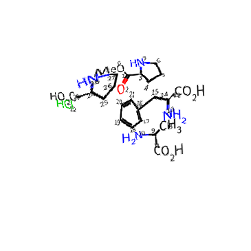 COC(=O)[C@@H]1CCCN1.C[C@H](N)C(=O)O.Cl.N[C@@H](Cc1ccccc1)C(=O)O.O=C(O)[C@@H]1CCCN1